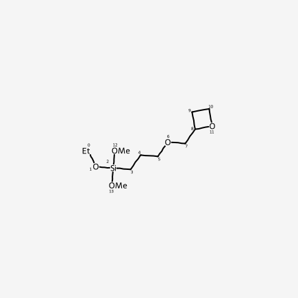 CCO[Si](CCCOCC1CCO1)(OC)OC